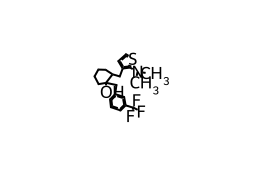 CN(C)c1sccc1CC1CCCCC1(O)Cc1cccc(C(F)(F)F)c1